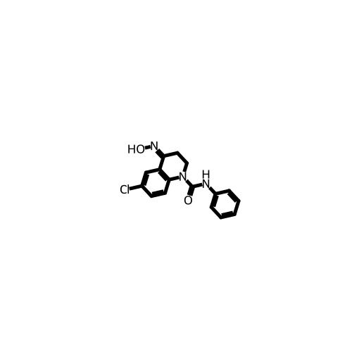 O=C(Nc1ccccc1)N1CC/C(=N/O)c2cc(Cl)ccc21